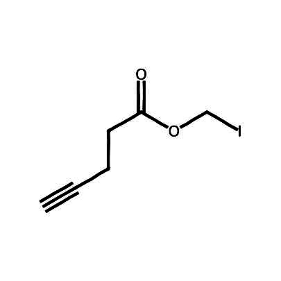 C#CCCC(=O)OCI